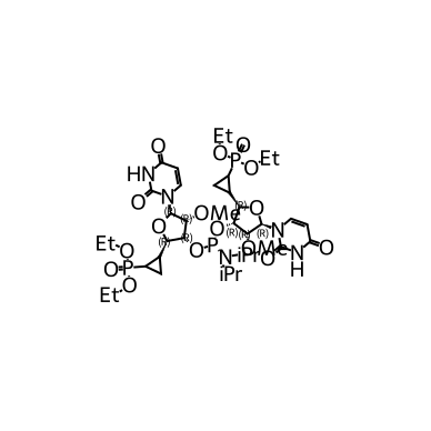 CCOP(=O)(OCC)C1CC1[C@H]1O[C@@H](n2ccc(=O)[nH]c2=O)[C@H](OC)[C@@H]1OP(O[C@H]1[C@@H](OC)[C@H](n2ccc(=O)[nH]c2=O)O[C@@H]1C1CC1P(=O)(OCC)OCC)N(C(C)C)C(C)C